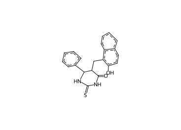 O=C1NC(=S)NC(c2ccccc2)C1Cc1c(O)ccc2ccccc12